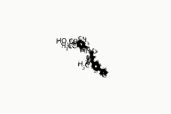 Cc1cc(CNC(=O)c2cc(-c3ccc(-c4ccoc4)cc3)n(C)n2)ccc1OC(C)(C)C(=O)O